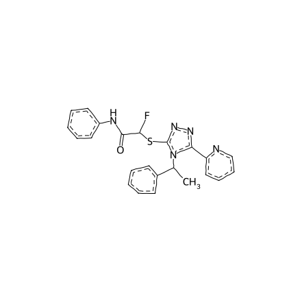 CC(c1ccccc1)n1c(SC(F)C(=O)Nc2ccccc2)nnc1-c1ccccn1